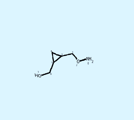 NOCC1CC1CO